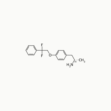 C[C@H](N)Cc1ccc(OCC(F)(F)c2ccccc2)cc1